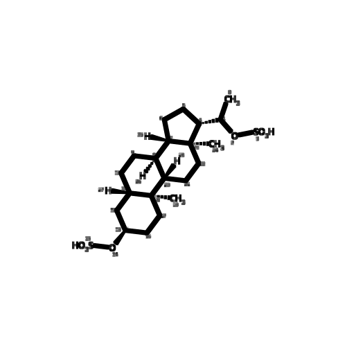 CC(OS(=O)(=O)O)[C@H]1CC[C@H]2[C@@H]3CC[C@H]4C[C@H](OS(=O)(=O)O)CC[C@]4(C)[C@H]3CC[C@]12C